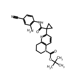 CC(C)(C)OC(=O)N1CCCc2nc(C3(C(=O)Nc4ccc(C#N)cc4N)CC3)ccc21